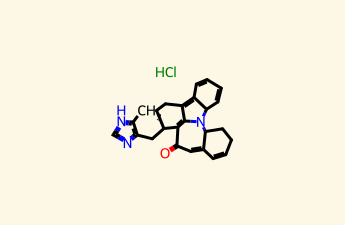 Cc1[nH]cnc1CC1CCC2=C3C=CC=CC3N3C2=C1C(=O)C=C1C=CCCC13.Cl